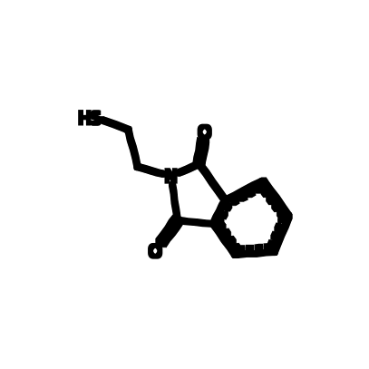 O=C1c2ccccc2C(=O)N1CCS